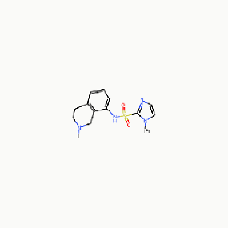 CC(C)n1ccnc1S(=O)(=O)Nc1cccc2c1CN(C)CC2